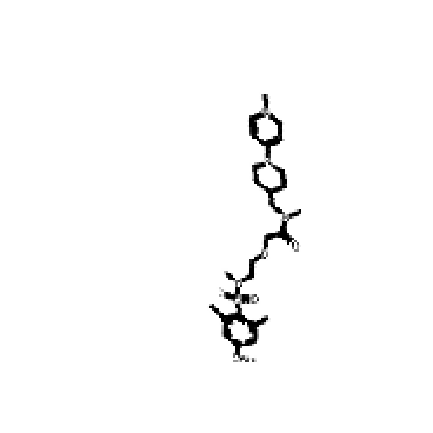 COc1cc(C)c(S(=O)(=O)N(C)CCOCC(=O)N(C)CC2CCN(C3=CCN(C)C=C3)CC2)c(C)c1